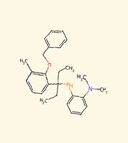 CCC(CC)(Pc1ccccc1N(C)C)c1cccc(C)c1OCc1ccccc1